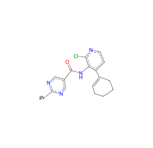 CC(C)c1ncc(C(=O)Nc2c(C3=CCCCC3)ccnc2Cl)cn1